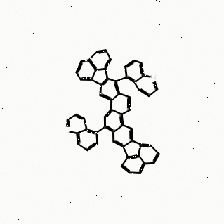 c1cc2c3c(cccc3c1)-c1cc3c(cc1-2)c(-c1cccc2ncccc12)cc1c2cc4c(c(-c5cccc6ncccc56)c2ccc31)-c1cccc2cccc-4c12